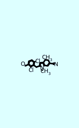 CC1CC(C#N)=Cc2c1cc(Cc1c(Cl)ccc(C=O)c1Cl)n2C